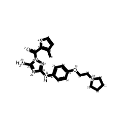 Cc1ccsc1C(=O)n1nc(Nc2ccc(OCCN3CCCC3)cc2)nc1N